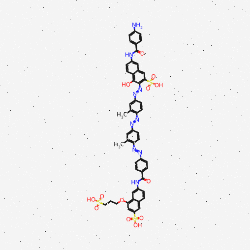 Cc1cc(N=Nc2ccc(N=Nc3c(S(=O)(=O)O)cc4cc(NC(=O)c5ccc(N)cc5)ccc4c3O)cc2C)ccc1N=Nc1ccc(C(=O)Nc2ccc3cc(S(=O)(=O)O)cc(OCCCS(=O)(=O)O)c3c2)cc1